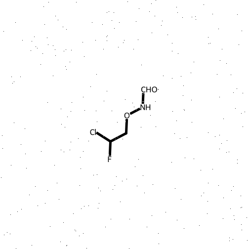 O=[C]NOCC(F)Cl